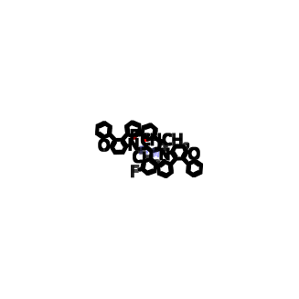 C=C(/C(=C(\C(C)=C(/C)n1c2ccccc2c2c3c(ccc21)oc1ccccc13)c1cccc(F)c1)n1c2ccccc2c2c3c(ccc21)oc1ccccc13)c1cccc(F)c1